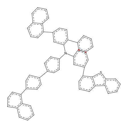 c1ccc(-c2ccc(-c3cccc4ccccc34)cc2N(c2ccc(-c3ccc(-c4cccc5ccccc45)cc3)cc2)c2cccc(-c3cccc4c3sc3ccccc34)c2)cc1